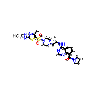 Cc1nc(NC(=O)O)sc1S(=O)(=O)N1CCN(C[C@H](C)Nc2ncnc3c(C(=O)N4CCCC4)cccc23)CC1